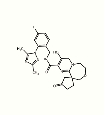 Cc1nc(C)n(-c2cc(F)ccc2CNC(=O)C2=C(O)CN3CCOCC4(CCC(=O)C4)C3=N2)n1